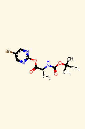 C[C@H](NC(=O)OC(C)(C)C)C(=O)Oc1ncc(Br)cn1